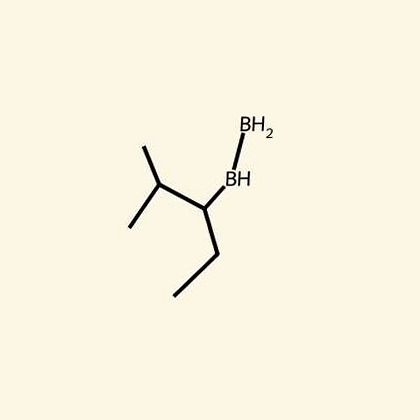 BBC(CC)C(C)C